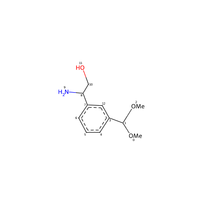 COC(OC)c1cccc(C(N)CO)c1